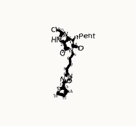 CCCCCn1c(=O)n(CCCCc2noc(-c3cccs3)n2)c(=O)c2[nH]c(Cl)nc21